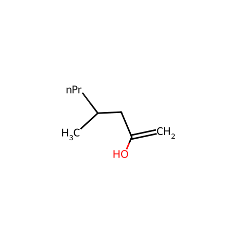 C=C(O)CC(C)CCC